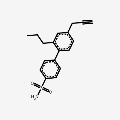 C#CCc1ccc(-c2ccc(S(N)(=O)=O)cc2)c(CCC)c1